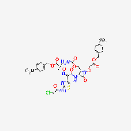 CC(C)(O/N=C(\C(=O)N[C@H]1C(=O)N(OCC(=O)OCc2ccc([N+](=O)[O-])cc2)[C@@H]1COC(N)=O)c1csc(NC(=O)CCl)n1)C(=O)OCc1ccc([N+](=O)[O-])cc1